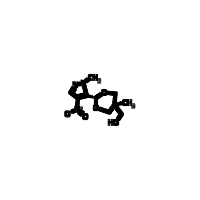 Cn1ncc([N+](=O)[O-])c1[C@H]1OC[C@@](C)(CO)CO1